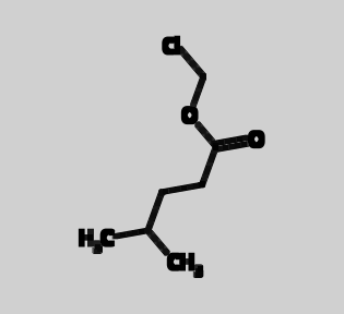 CC(C)CCC(=O)OCCl